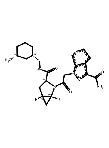 C[C@@H]1CCC[C@H](CNC(=O)[C@@H]2C[C@H]3C[C@H]3N2C(=O)Cn2nc(C(N)=O)c3ccncc32)C1